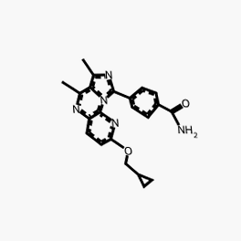 Cc1nc(-c2ccc(C(N)=O)cc2)n2c1c(C)nc1ccc(OCC3CC3)nc12